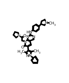 Cc1nn(-c2ccccc2)c(C)c1-c1cc2cnc(Nc3ccc(C4CCN(C)C4)cc3)nc2n(CC(=O)N2CCCC2)c1=O